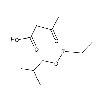 CC(=O)CC(=O)O.C[CH2][Ti][O]CC(C)C